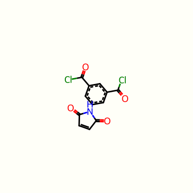 O=C(Cl)c1cccc(C(=O)Cl)c1.O=C1C=CC(=O)N1